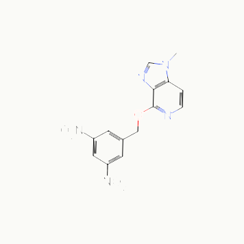 Cn1cnc2c(OCc3cc([N+](=O)[O-])cc([N+](=O)[O-])c3)nccc21